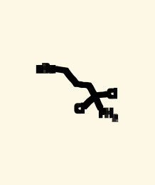 CCCCCCCC(P)(Cl)Cl